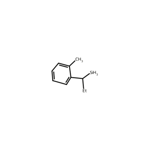 CCC([SiH3])c1ccccc1C